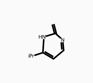 C=C1N=CC=C(C(C)C)N1